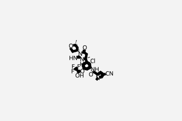 C[C@@H]1C[C@H](N2C(=N)N[C@](C)(c3cccc(NC(=O)c4cc(C#N)cn4C)c3Cl)CC2=O)CCO1.O=C(O)C(F)(F)F